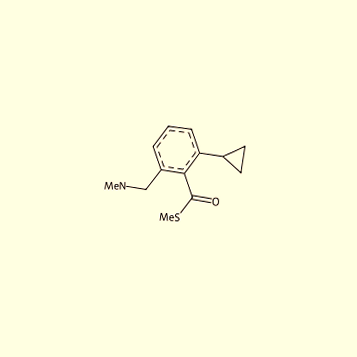 CNCc1cccc(C2CC2)c1C(=O)SC